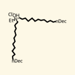 CCCCCCCCCCCCCCCCCCCCCC[N+](O)(CC)CCCCCCCCCCCCCCCCCCCCCC.[Cl-]